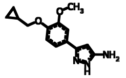 COc1cc(-c2cc(N)[nH]n2)ccc1OCC1CC1